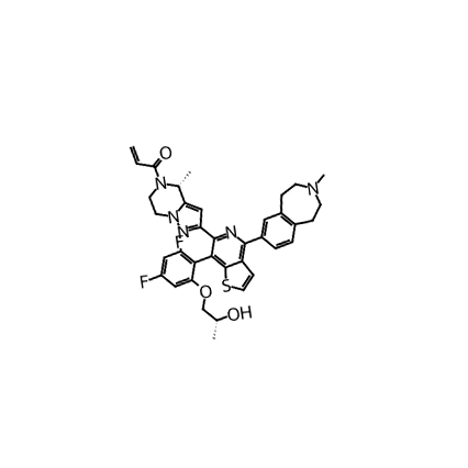 C=CC(=O)N1CCn2nc(-c3nc(-c4ccc5c(c4)CCN(C)CC5)c4ccsc4c3-c3c(F)cc(F)cc3OC[C@@H](C)O)cc2[C@H]1C